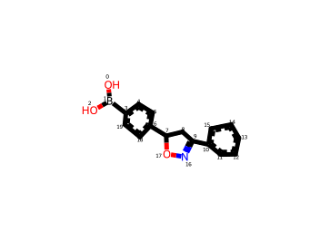 OB(O)c1ccc(C2CC(c3ccccc3)=NO2)cc1